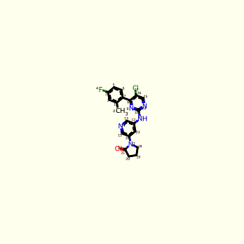 Cc1cc(F)ccc1-c1nc(Nc2cncc(N3CCCC3=O)c2)ncc1Cl